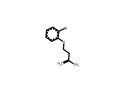 C=C(C)CCOc1ccccc1Br